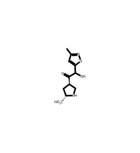 Cc1cc(C(O)C(=O)[C@H]2CN[C@H](C(=O)O)C2)on1